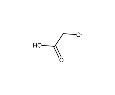 [O]CC(=O)O